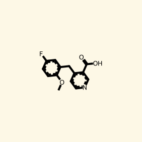 COc1ccc(F)cc1Cc1ccncc1C(=O)O